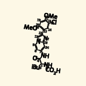 CCC(C)C(NC(=O)O)C(=O)Nc1ccn2cc(-c3cc(Cl)c(OC)cc3OC)nc2c1